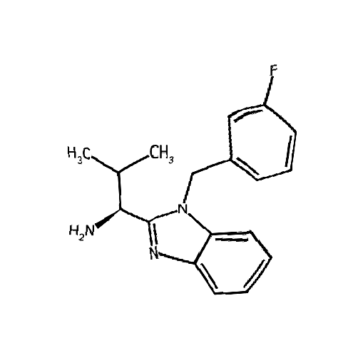 CC(C)[C@H](N)c1nc2ccccc2n1Cc1cccc(F)c1